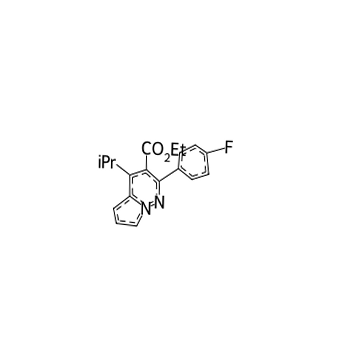 CCOC(=O)c1c(-c2ccc(F)cc2)nn2cccc2c1C(C)C